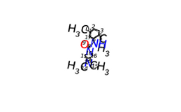 Cc1ccc(C)c(NC(=O)N2CC(N(C)C)C2)c1